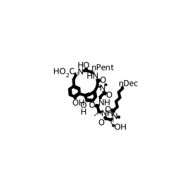 CCCCCCCCCCCCCCCC(=O)N(C)[C@H](CO)C(=O)N[C@H](C)C(=O)NCC(=O)N(C)[C@@H]1C(=O)N[C@@H](CCCCC)C(=O)N[C@H](C(=O)O)Cc2ccc(O)c(c2)-c2cc1ccc2O